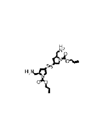 C=CCOC(=O)N1CC(SSC2CC(CN)N(C(=O)OCC=C)C2)CC1CN